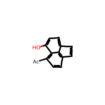 CC(=O)c1ccc2c3c(ccc(O)c13)C=C2